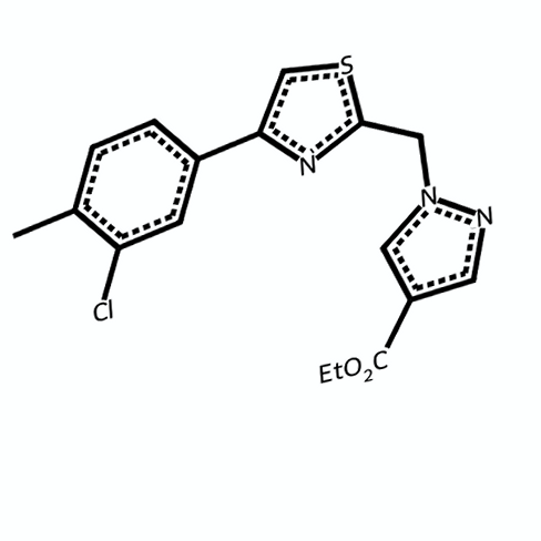 CCOC(=O)c1cnn(Cc2nc(-c3ccc(C)c(Cl)c3)cs2)c1